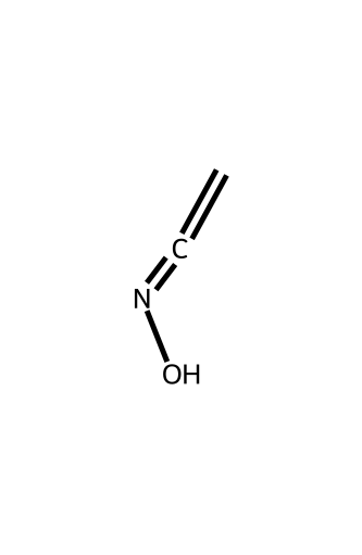 C=C=NO